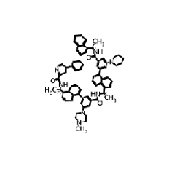 C[C@@H](NC(=O)c1cc(-c2cccc3c([C@@H](C)NC(=O)c4cc(-c5cccc6c([C@@H](C)NC(=O)c7cc(-c8ccccc8)ccn7)cccc56)cc(N5CCN(C)CC5)c4)cccc23)cc(N2CCCCC2)c1)c1cccc2ccccc12